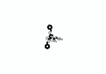 CC(C)(C)OC(=O)N1CC(OCc2ccccc2)CC1(C)C(=O)OCc1ccccc1